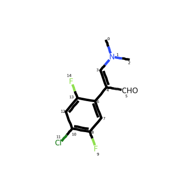 CN(C)C=C(C=O)c1cc(F)c(Cl)cc1F